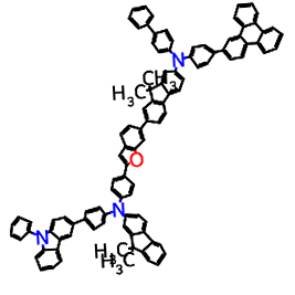 CC1(C)c2ccccc2-c2ccc(N(c3ccc(-c4ccc5c(c4)c4ccccc4n5-c4ccccc4)cc3)c3ccc(-c4cc5ccc(-c6ccc7c(c6)C(C)(C)c6cc(N(c8ccc(-c9ccccc9)cc8)c8ccc(-c9ccc%10c%11ccccc%11c%11ccccc%11c%10c9)cc8)ccc6-7)cc5o4)cc3)cc21